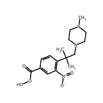 CN1CCN(CC(C)(C)c2ccc(C(=O)OO)cc2[N+](=O)[O-])CC1